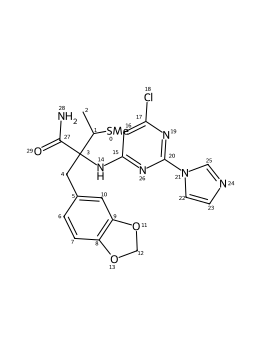 CSC(C)C(Cc1ccc2c(c1)OCO2)(Nc1cc(Cl)nc(-n2ccnc2)n1)C(N)=O